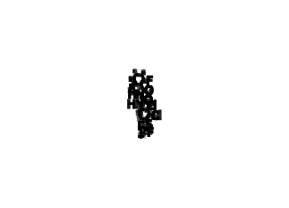 O=C(NC(=O)c1c(F)cccc1F)Nc1ccc(SC(F)(F)F)c(Cl)c1Cl